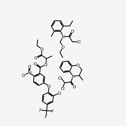 CC1COc2ccccc2N1C(=O)C(Cl)Cl.CCOC(=O)C(C)OC(=O)c1cc(Oc2ccc(C(F)(F)F)cc2Cl)ccc1[N+](=O)[O-].CCOCN(C(=O)CCl)c1c(C)cccc1CC